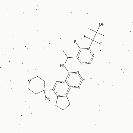 Cc1nc(NC(C)c2cccc(C(F)(F)C(C)(C)O)c2F)c2cc(C3(O)CCOCC3)c3c(c2n1)CCC3